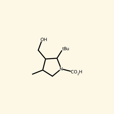 CC1CN(C(=O)O)C(C(C)(C)C)C1CO